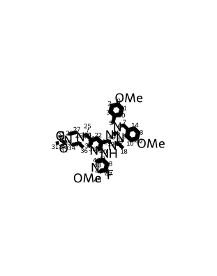 COc1ccc(CN(Cc2ccc(OC)cc2)c2nc(C)nc(-c3cc([C@@H](C)N4CCN(S(C)(=O)=O)CC4C)cnc3Nc3cnc(OC)c(F)c3)n2)cc1